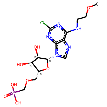 COCCNc1nc(Cl)nc2c1ncn2[C@@H]1O[C@H](COCP(=O)(O)O)[C@@H](O)[C@H]1O